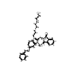 CCn1c(CN2C(=O)c3ccccc3C2=O)[n+](CCOCCOCCO)c2ccc(OCc3ccccc3)cc21